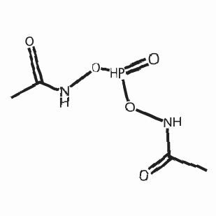 CC(=O)NO[PH](=O)ONC(C)=O